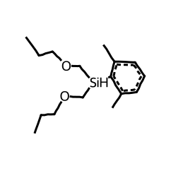 CCCOC[SiH](COCCC)c1c(C)cccc1C